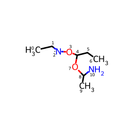 CC[N]OC(CC)OC(C)N